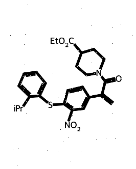 C=C(C(=O)N1CCC(C(=O)OCC)CC1)c1ccc(Sc2ccccc2C(C)C)c([N+](=O)[O-])c1